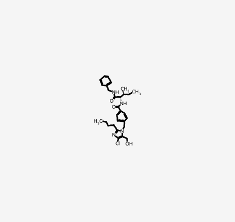 CCCCc1nc(Cl)c(CO)n1Cc1ccc(C(=O)N[C@H](C(=O)NCc2ccccc2)[C@@H](C)CC)cc1